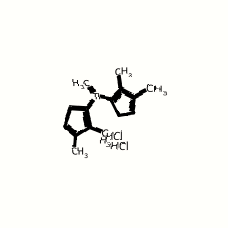 Cl.Cl.[CH2]=[Ti]([C]1=C(C)C(C)=CC1)[C]1=C(C)C(C)=CC1